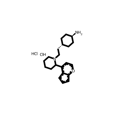 Cl.Cl.N[C@H]1CC[C@H](CCN2CCCCC2c2ccoc3cccc2-3)CC1